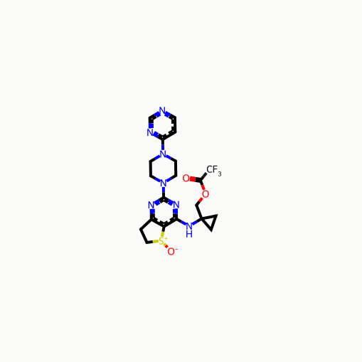 O=C(OCC1(Nc2nc(N3CCN(c4ccncn4)CC3)nc3c2[S+]([O-])CC3)CC1)C(F)(F)F